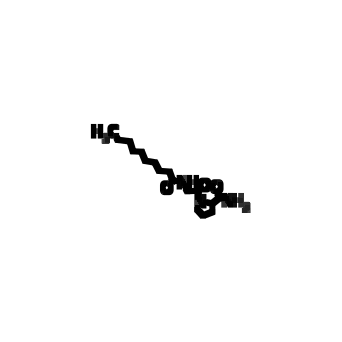 CCCCCCCCCC(=O)NCC(=O)N1CCCC1C(N)=O